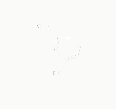 COc1cccc(C(F)(F)F)c1